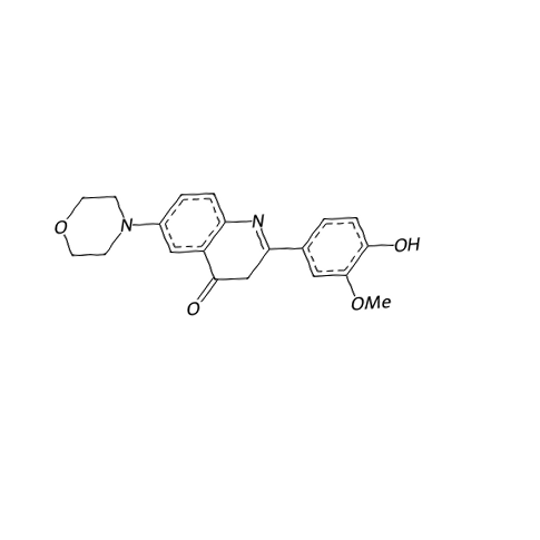 COc1cc(C2=Nc3ccc(N4CCOCC4)cc3C(=O)C2)ccc1O